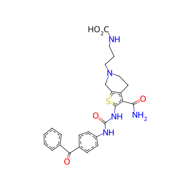 NC(=O)c1c(NC(=O)Nc2ccc(C(=O)c3ccccc3)cc2)sc2c1CCN(CCCNC(=O)O)C2